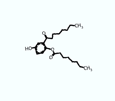 CCCCCCCC(=O)Oc1ccc(O)cc1C(=O)CCCCCCC